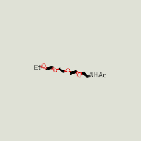 CCOCCOCCOCCOCCNC(C)=O